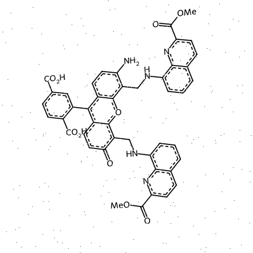 COC(=O)c1ccc2cccc(NCc3c4oc5c(CNc6cccc7ccc(C(=O)OC)nc67)c(N)ccc5c(-c5cc(C(=O)O)ccc5C(=O)O)c-4ccc3=O)c2n1